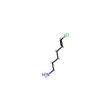 NCCCCC=CCl